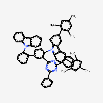 Cc1cc(C)c(-c2ccc3c(c2)c2cc(-c4c(C)cc(C)cc4C)ccc2n3-c2ccc(-c3ccccc3-n3c4ccccc4c4ccccc43)cc2-c2nc(-c3ccccc3)nc(-c3ccccc3)n2)c(C)c1